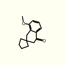 COc1cccc2c1CC1(CCCC1)CC2=O